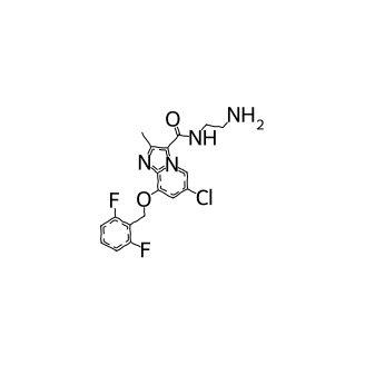 Cc1nc2c(OCc3c(F)cccc3F)cc(Cl)cn2c1C(=O)NCCN